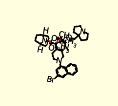 CC(C)(C)OC(=O)N1[C@H]2CC[C@H]1CN(c1nc(OCC34CCCN3CCC4)nc3c1CCN(c1cc(Br)cc4ccccc14)C3)C2